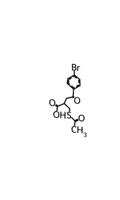 CC(=O)SCC(CC(=O)c1ccc(Br)cc1)C(=O)O